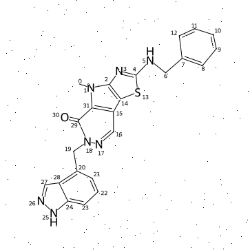 Cn1c2nc(NCc3ccccc3)sc2c2cnn(Cc3cccc4[nH]ncc34)c(=O)c21